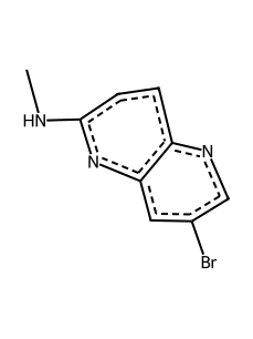 CNc1ccc2ncc(Br)cc2n1